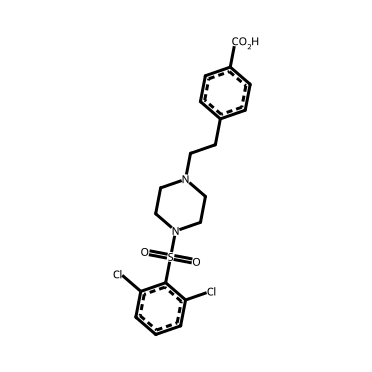 O=C(O)c1ccc(CCN2CCN(S(=O)(=O)c3c(Cl)cccc3Cl)CC2)cc1